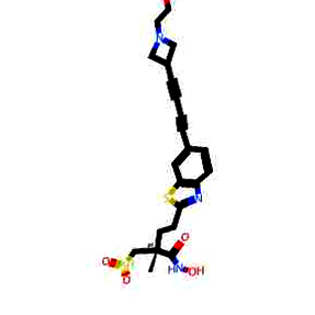 C[C@](CCc1nc2ccc(C#CC#CC3CN(CCO)C3)cc2s1)(C[SH](=O)=O)C(=O)NO